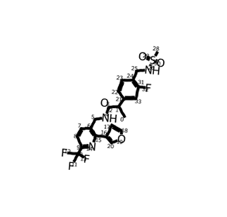 CC(C(=O)NCc1ccc(C(F)(F)F)nc1-c1ccoc1)c1ccc(CNS(C)(=O)=O)c(F)c1